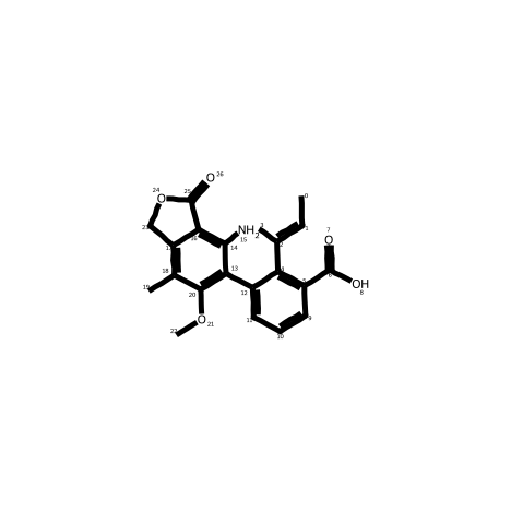 CC=C(C)c1c(C(=O)O)cccc1-c1c(N)c2c(c(C)c1OC)COC2=O